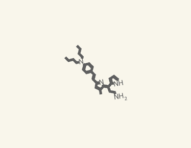 CCCCN(CCCC)c1ccc(/C=C/C2=NC(=C(/CCN)c3ccc[nH]3)/C(C)=C2)cc1